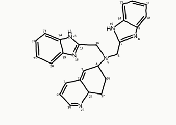 C1=CC2=CC(N(Cc3nc4ccccc4[nH]3)Cc3nc4ccccc4[nH]3)CCC2N=C1